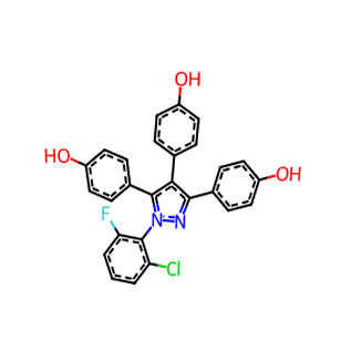 Oc1ccc(-c2nn(-c3c(F)cccc3Cl)c(-c3ccc(O)cc3)c2-c2ccc(O)cc2)cc1